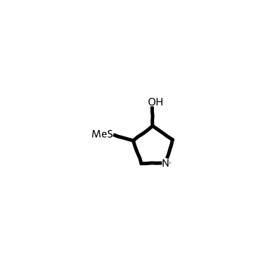 CSC1C[N]CC1O